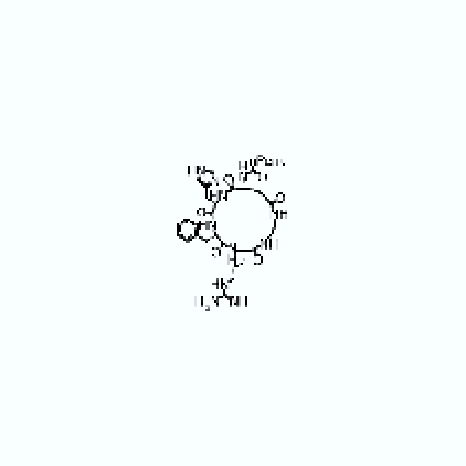 CCCCCC(=O)N[C@H]1CCC(=O)NCCNC(=O)[C@H](CCCNC(=N)N)NC(=O)[C@@H](Cc2ccccc2)NC(=O)[C@H](Cc2c[nH]cn2)NC1=O